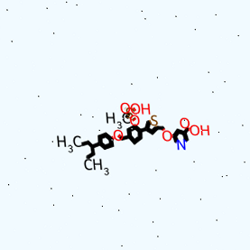 CCCC(CCC)c1ccc(OCc2ccc(-c3csc(COc4cncc(C(=O)O)c4)c3)cc2)cc1.CS(=O)(=O)O